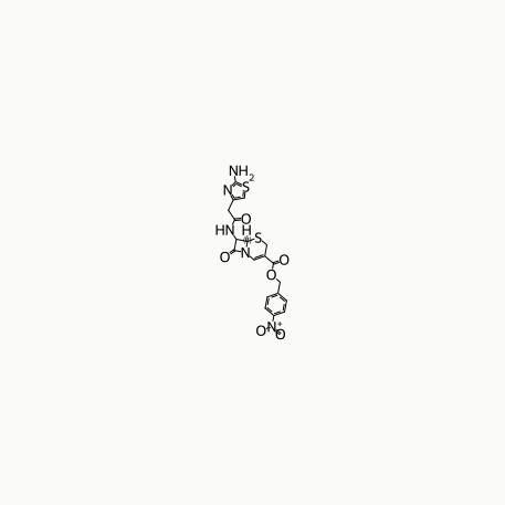 Nc1nc(CC(=O)NC2C(=O)N3C=C(C(=O)OCc4ccc([N+](=O)[O-])cc4)CS[C@H]23)cs1